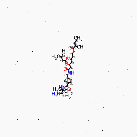 C=C/C=C(\C)C(=O)SCC/C=C/C(CC(=O)NCc1nc(C(=O)NC(C)(C)C(=C)N)cs1)OC(=O)CC(C)C